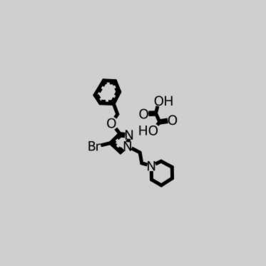 Brc1cn(CCN2CCCCC2)nc1OCc1ccccc1.O=C(O)C(=O)O